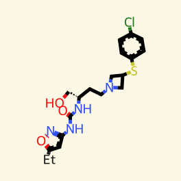 CCc1cc(NC(=O)N[C@H](CO)CCN2CC(Sc3ccc(Cl)cc3)C2)no1